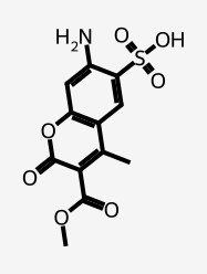 COC(=O)c1c(C)c2cc(S(=O)(=O)O)c(N)cc2oc1=O